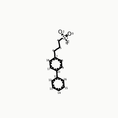 O=S(=O)(F)CCCc1ccc(-c2ccccc2)cc1